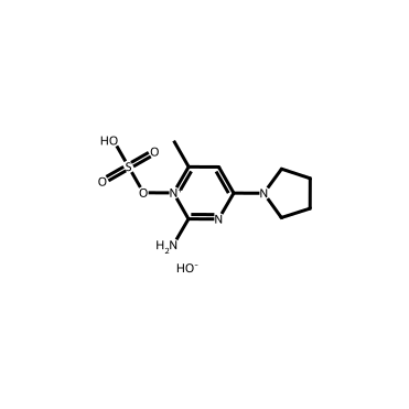 Cc1cc(N2CCCC2)nc(N)[n+]1OS(=O)(=O)O.[OH-]